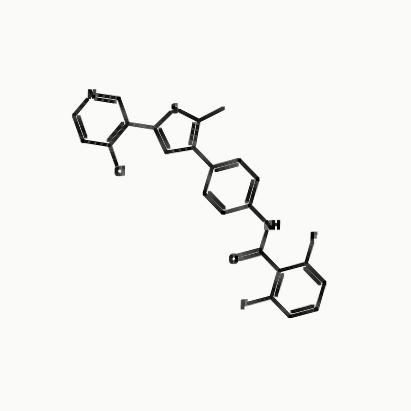 Cc1sc(-c2cnccc2Cl)cc1-c1ccc(NC(=O)c2c(F)cccc2F)cc1